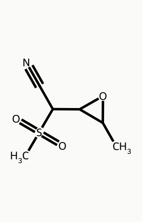 CC1OC1C(C#N)S(C)(=O)=O